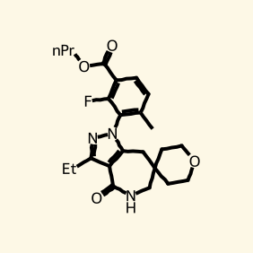 CCCOC(=O)c1ccc(C)c(-n2nc(CC)c3c2CC2(CCOCC2)CNC3=O)c1F